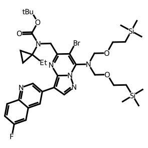 CCC1(N(Cc2nc3c(-c4cnc5ccc(F)cc5c4)cnn3c(N(COCC[Si](C)(C)C)COCC[Si](C)(C)C)c2Br)C(=O)OC(C)(C)C)CC1